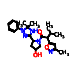 Cc1cc(C(C(=O)N2CC(O)CC2C2=NN(c3ccccc3)C(C)(C)N2)C(C)C)on1